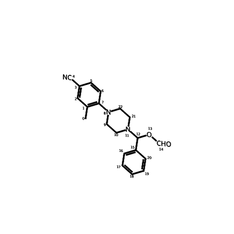 Cc1cc(C#N)ccc1N1CCN(C(OC=O)c2ccccc2)CC1